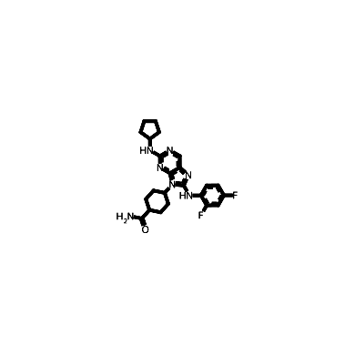 NC(=O)C1CCC(n2c(Nc3ccc(F)cc3F)nc3cnc(NC4CCCC4)nc32)CC1